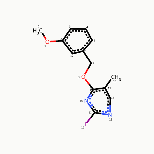 COc1cccc(COc2nc(I)ncc2C)c1